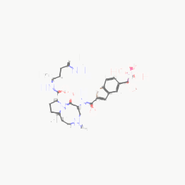 C=C(N)CC[C@H](NC(=O)[C@@H]1CC[C@@H]2CCN(C(C)=O)C[C@H](NC(=O)c3cc4cc(C(=O)P(=O)(O)O)ccc4s3)C(=O)N21)C(C)C